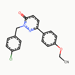 N#CCOc1ccc(-c2ccc(=O)n(Cc3ccc(Cl)cc3)n2)cc1